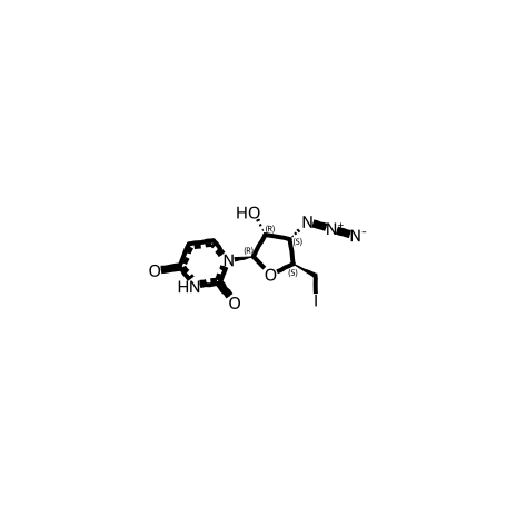 [N-]=[N+]=N[C@H]1[C@@H](O)[C@H](n2ccc(=O)[nH]c2=O)O[C@@H]1CI